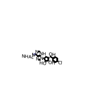 CC(=O)N/N=c1/nc[nH]c2c1ncn2[C@@H]1C[C@H](C(O)c2ccc(Cl)cc2)[C@@H](O)[C@H]1O